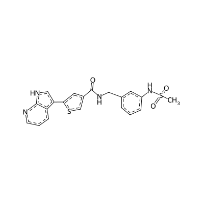 CS(=O)(=O)Nc1cccc(CNC(=O)c2csc(-c3c[nH]c4ncccc34)c2)c1